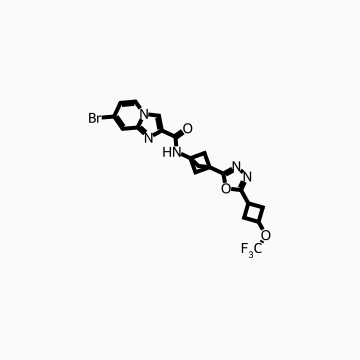 O=C(NC12CC(c3nnc(C4CC(OC(F)(F)F)C4)o3)(C1)C2)c1cn2ccc(Br)cc2n1